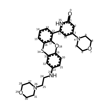 O=c1cc(N2CCOCC2)cc(-c2cccc3c2Oc2ccc(NCCN4CCOCC4)cc2S3)[nH]1